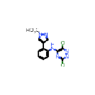 O=C(O)n1cc(-c2ccccc2Nc2nc(Cl)nnc2Cl)cn1